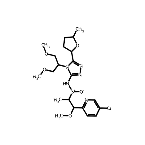 COCC(COC)n1c(N[S+]([O-])C(C)C(OC)c2ccc(Cl)cn2)nnc1C1CCC(C)O1